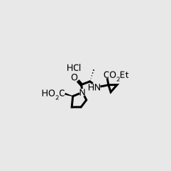 CCOC(=O)C1(N[C@@H](C)C(=O)N2CCC[C@H]2C(=O)O)CC1.Cl